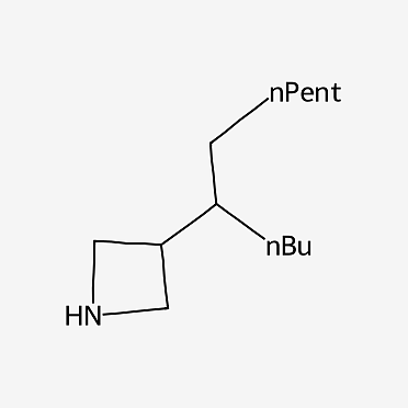 CCCCCCC(CCCC)C1CNC1